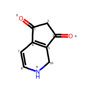 O=C1CC(=O)C2=C1C=CNC2